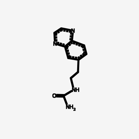 NC(=O)NCCc1ccc2nccnc2c1